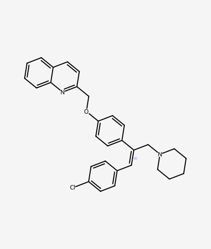 Clc1ccc(/C=C(/CN2CCCCC2)c2ccc(OCc3ccc4ccccc4n3)cc2)cc1